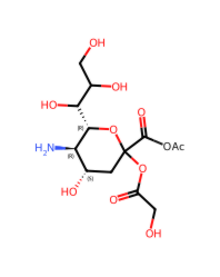 CC(=O)OC(=O)C1(OC(=O)CO)C[C@H](O)[C@@H](N)[C@H](C(O)C(O)CO)O1